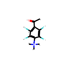 CC(=O)c1c(F)c(F)c([N+](C)(C)C)c(F)c1F